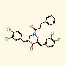 O=C1/C(=C/c2ccc(Cl)c(Cl)c2)CN(C(=O)CCc2ccccc2)C/C1=C\c1ccc(Cl)c(Cl)c1